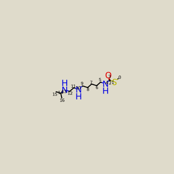 CSC(=O)NCCCCCNCCNC(C)C